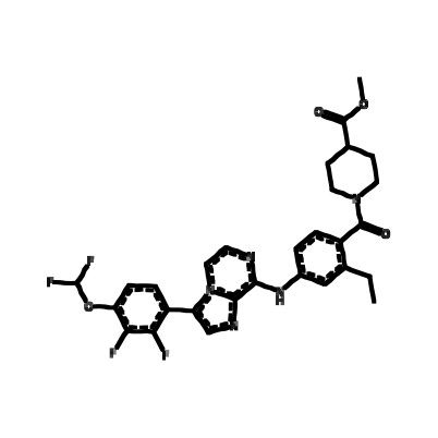 CCc1cc(Nc2nccn3c(-c4ccc(OC(F)F)c(F)c4F)cnc23)ccc1C(=O)N1CCC(C(=O)OC)CC1